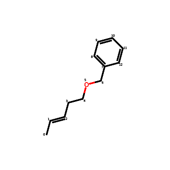 CC=CCCOCc1ccccc1